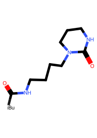 CCC(C)C(=O)NCCCCN1CCCNC1=O